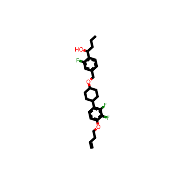 C=CCCOc1ccc(C2CCC(OCc3ccc(C(O)CCC)c(F)c3)CC2)c(F)c1F